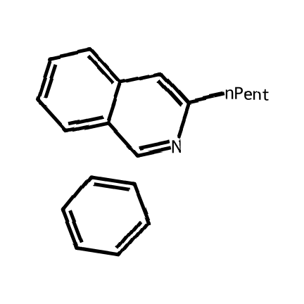 CCCCCc1cc2ccccc2cn1.c1ccccc1